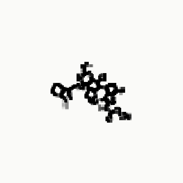 CCSc1nc(NCc2n[nH]c3c2CCCC3)c2c3c(c(-c4ccc(F)c5sc(NC(=O)OC(C)(C)C)c(C#N)c45)c(Cl)c2n1)COC3